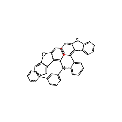 c1ccc(-c2cccc(N(c3ccccc3-c3cccc4sc5ccccc5c34)c3cccc4oc5ccccc5c34)c2)cc1